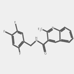 O=C(NCc1cc(F)c(F)cc1F)c1cc2ccccc2nc1C(F)(F)F